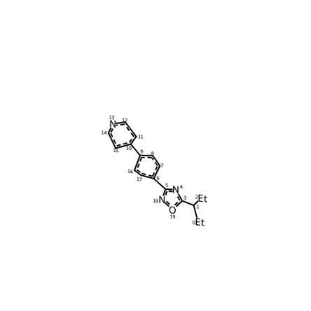 CCC(CC)c1nc(-c2ccc(-c3ccncc3)cc2)no1